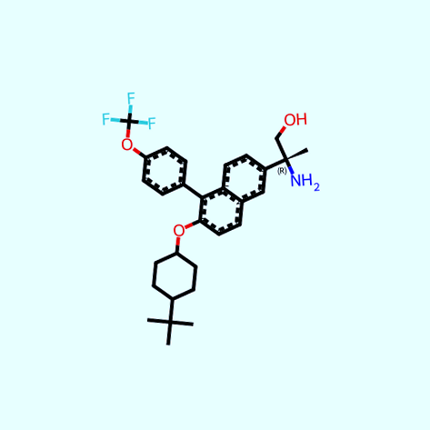 CC(C)(C)C1CCC(Oc2ccc3cc([C@@](C)(N)CO)ccc3c2-c2ccc(OC(F)(F)F)cc2)CC1